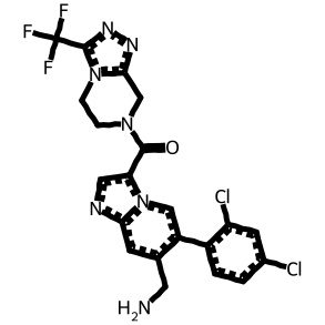 NCc1cc2ncc(C(=O)N3CCn4c(nnc4C(F)(F)F)C3)n2cc1-c1ccc(Cl)cc1Cl